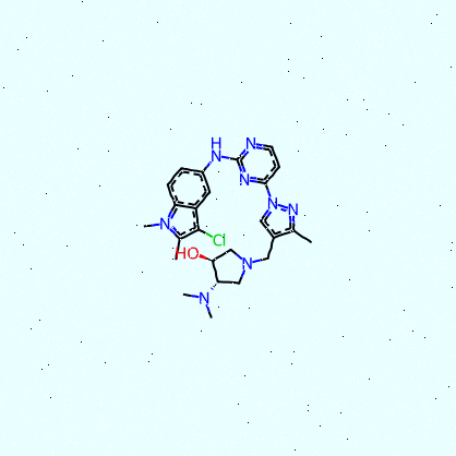 Cc1nn(-c2ccnc(Nc3ccc4c(c3)c(Cl)c(C)n4C)n2)cc1CN1C[C@H](O)[C@@H](N(C)C)C1